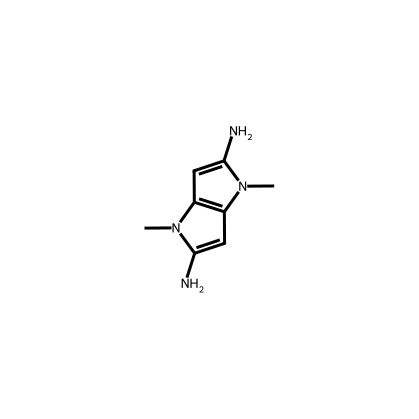 Cn1c(N)cc2c1cc(N)n2C